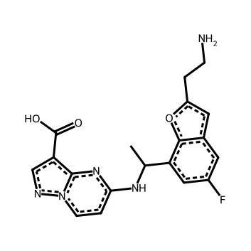 CC(Nc1ccn2ncc(C(=O)O)c2n1)c1cc(F)cc2cc(CCN)oc12